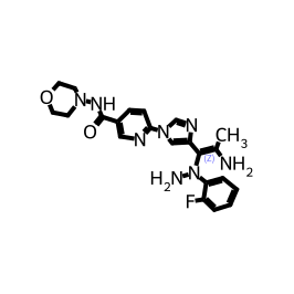 C/C(N)=C(\c1cn(-c2ccc(C(=O)NN3CCOCC3)cn2)cn1)N(N)c1ccccc1F